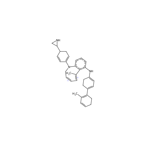 CC1=C(C2=CC=C(Nc3cccc4c3/C(C)=C/C=C\CN4C3=CCC(C4CN4)C=C3)CC2)CCC=C1